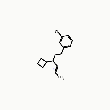 C/C=C/C(C[CH]c1cccc(Cl)c1)C1CCC1